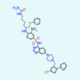 NC(=O)NCCCCC(CSc1ccccc1)Nc1ccc(S(=O)(=O)Nc2ncnc3cc(N4CCN(Cc5cc(Cl)ccc5-c5ccccc5)CC4)ccc23)cc1[N+](=O)[O-]